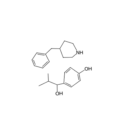 CC(C)C(O)c1ccc(O)cc1.c1ccc(CC2CCNCC2)cc1